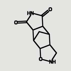 O=C1NC(=O)C2C3CC(C4CNOC43)C12